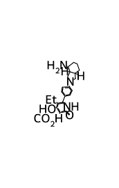 CCc1c(-c2ccc(N3C[C@H]4CCC[C@@H](N)[C@H]4C3)cc2)[nH]c(=O)c(C(=O)O)c1O